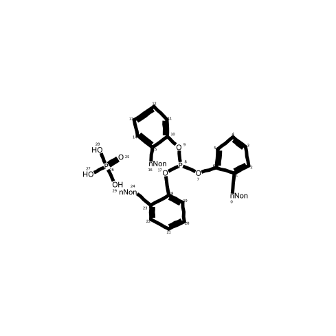 CCCCCCCCCc1ccccc1OP(Oc1ccccc1CCCCCCCCC)Oc1ccccc1CCCCCCCCC.O=P(O)(O)O